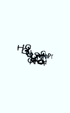 CCCNC(=O)c1csc(-c2c(-c3ccc(F)cc3)noc2C2CCN(C(=O)CO)CC2)n1